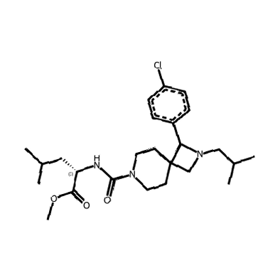 COC(=O)[C@H](CC(C)C)NC(=O)N1CCC2(CC1)CN(CC(C)C)C2c1ccc(Cl)cc1